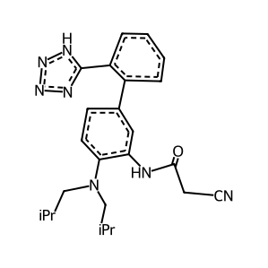 CC(C)CN(CC(C)C)c1ccc(-c2ccccc2-c2nnn[nH]2)cc1NC(=O)CC#N